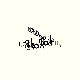 CC(C)(C)OC(=O)c1cc2ccc(NC(=O)c3ccc(NS(C)(=O)=O)cc3NC(=O)OCC3CCN(c4ccncc4)CC3)cc2[nH]1